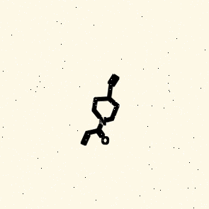 C#CC1CCN(C(=O)C=C)CC1